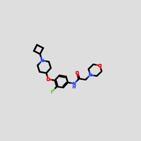 O=C(CN1CCOCC1)Nc1ccc(OC2CCN(C3CCC3)CC2)c(F)c1